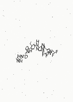 CCc1cc(Nc2nccn3c(-c4cn(CC(F)F)nc4C(F)(F)F)cnc23)ccc1C(=O)NCC(=O)NCC1CCN1